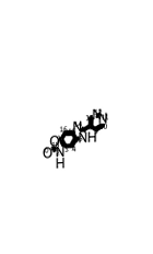 O=c1[nH]c2cc3[nH]c(-c4ccnnc4)nc3cc2o1